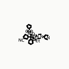 CCOc1ccccc1C1(C(=O)NN2CCN(c3ccncc3)CC2)C(=O)N(S(=O)(=O)c2ccccc2)c2ccc(C#N)cc21